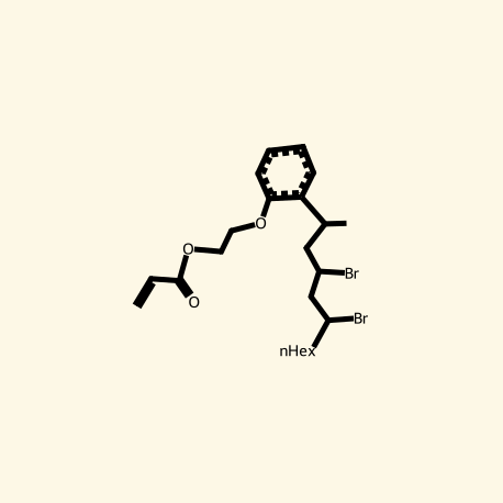 C=CC(=O)OCCOc1ccccc1C(C)CC(Br)CC(Br)CCCCCC